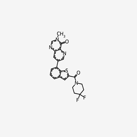 Cn1cnc2cc(-c3cccc4cc(C(=O)N5CCC(F)(F)CC5)sc34)cnc2c1=O